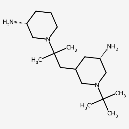 CC(C)(C)N1CC(CC(C)(C)N2CCC[C@@H](N)C2)C[C@H](N)C1